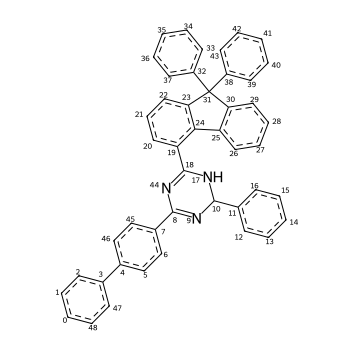 c1ccc(-c2ccc(C3=NC(c4ccccc4)NC(c4cccc5c4-c4ccccc4C5(c4ccccc4)c4ccccc4)=N3)cc2)cc1